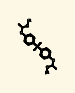 CCOC(C)Oc1ccc(C(C)(C)c2ccc(OC(C)OCC)cc2)cc1